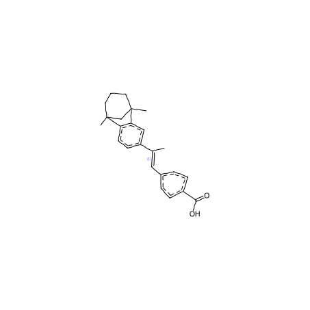 C/C(=C\c1ccc(C(=O)O)cc1)c1ccc2c(c1)C1(C)CCCC2(C)C1